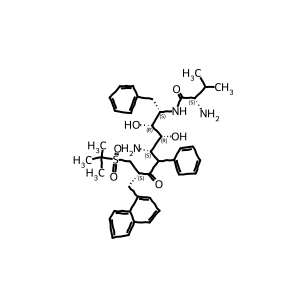 CC(C)[C@H](N)C(=O)N[C@@H](Cc1ccccc1)[C@@H](O)[C@H](O)[C@@H](N)C(C(=O)[C@H](Cc1cccc2ccccc12)CS(=O)(=O)C(C)(C)C)c1ccccc1